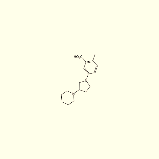 Cc1ccc(N2CCC(N3CCCCC3)C2)cc1C(=O)O